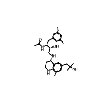 CC(=O)N[C@@H](Cc1cc(F)cc(F)c1)[C@@H](O)CNC1CCNc2c(C)cc(CC(C)(C)O)cc21